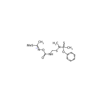 CS/C(C)=N/OC(=O)NCSN(C)P(C)(=S)Oc1ccccc1